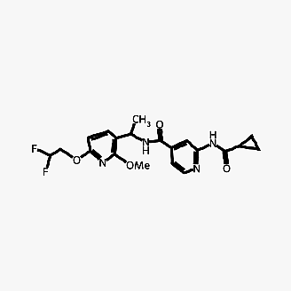 COc1nc(OCC(F)F)ccc1C(C)NC(=O)c1ccnc(NC(=O)C2CC2)c1